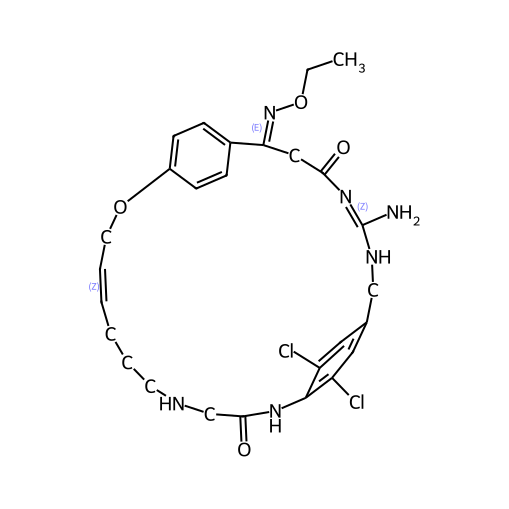 CCO/N=C1\CC(=O)/N=C(/N)NCc2cc(Cl)c(c(Cl)c2)NC(=O)CNCCC/C=C\COc2ccc1cc2